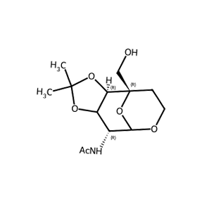 CC(=O)N[C@H]1C2OCC[C@](CO)(O2)[C@@H]2OC(C)(C)OC12